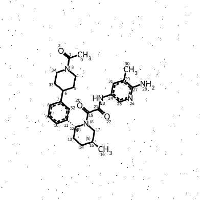 CC(=O)N1CCC(c2cccc([C@H]3CC[C@H](C)CN3C(=O)C(=O)Nc3cnc(N)c(C)c3)c2)CC1